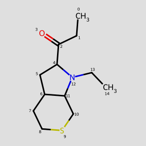 CCC(=O)C1CC2CCSCC2N1CC